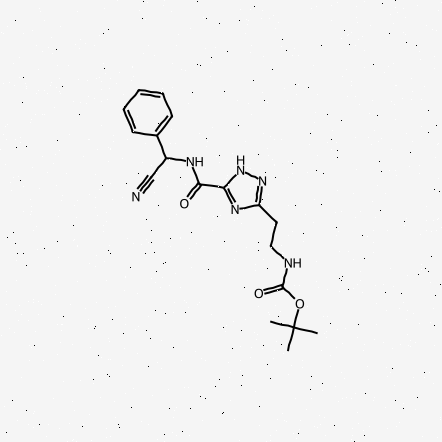 CC(C)(C)OC(=O)NCCc1n[nH]c(C(=O)NC(C#N)c2ccccc2)n1